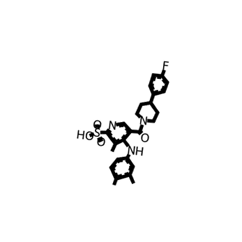 Cc1ccc(Nc2c(C(=O)N3CCC(c4ccc(F)cc4)CC3)cnc(S(=O)(=O)O)c2C)cc1C